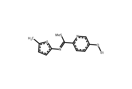 CCOc1ccc(/C(=N/c2ccc(C)s2)SC)nc1